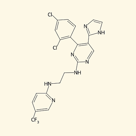 FC(F)(F)c1ccc(NCCNc2ncc(-c3ncc[nH]3)c(-c3ccc(Cl)cc3Cl)n2)nc1